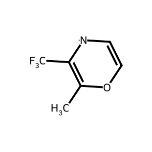 CC1=C(C(F)(F)F)[N]C=CO1